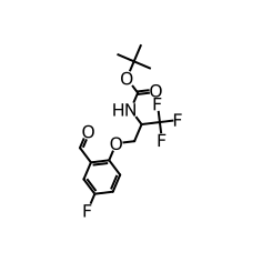 CC(C)(C)OC(=O)NC(COc1ccc(F)cc1C=O)C(F)(F)F